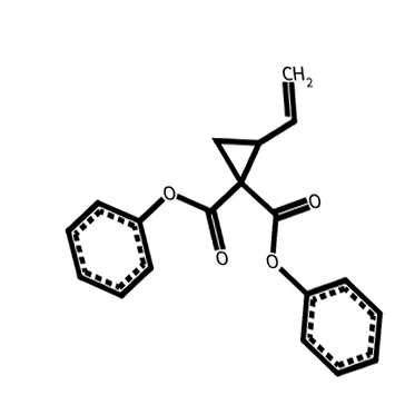 C=CC1CC1(C(=O)Oc1ccccc1)C(=O)Oc1ccccc1